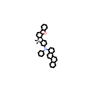 C[Si]1(C)c2cc(N(c3ccccc3)c3cccc4c3ccc3c5ccccc5ccc43)ccc2-c2c1ccc1c2oc2ccccc21